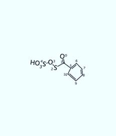 O=C(SOS(=O)(=O)O)c1ccccc1